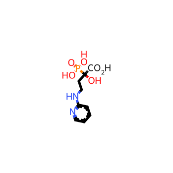 O=C(O)C(O)(CCNc1ccccn1)P(=O)(O)O